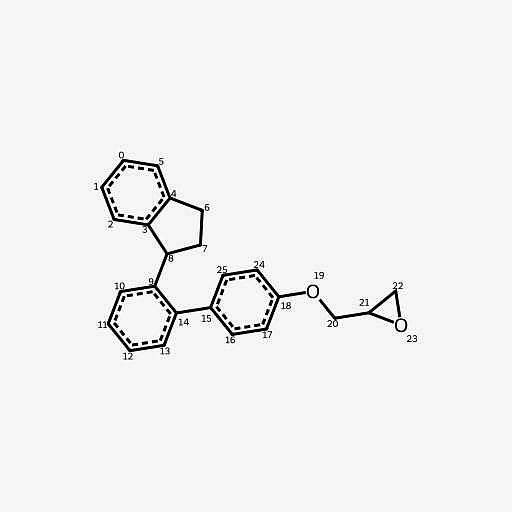 c1ccc2c(c1)CCC2c1ccccc1-c1ccc(OCC2CO2)cc1